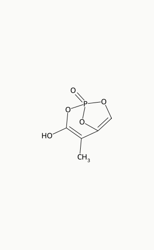 CC1=C(O)OP2(=O)OC=C1O2